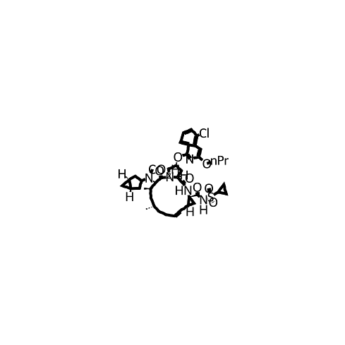 CCCOc1cc2c(Cl)cccc2c(O[C@@H]2C[C@H]3C(=O)N[C@]4(C(=O)NS(=O)(=O)C5CC5)C[C@H]4C=CCC[C@H](C)C[C@@H](C)[C@H](N(C(=O)O)C4C[C@@H]5C[C@H]5C4)C(=O)N3C2)n1